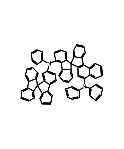 c1ccc(N(c2ccc3c(c2)C2(c4ccccc4-c4ccccc42)c2ccccc2-3)c2cccc3c2-c2ccccc2C32c3ccccc3-c3c2cc(N(c2ccccc2)c2ccccc2)c2ccccc32)cc1